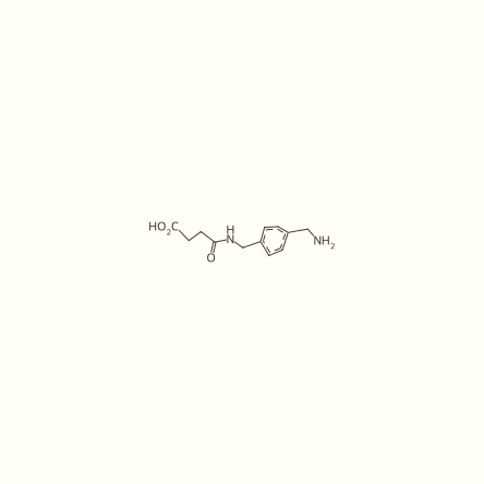 NCc1ccc(CNC(=O)CCC(=O)O)cc1